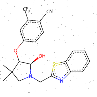 CC1(C)CN(Cc2nc3ccccc3s2)[C@H](O)C1Oc1ccc(C#N)c(C(F)(F)F)c1